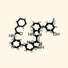 O=C(CC1CCCCC1)Nc1cncc(-c2ccc3[nH]nc(-c4nc5c(-c6cc(O)cc(F)c6)ccnc5[nH]4)c3n2)c1